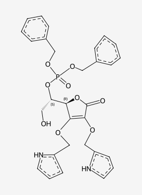 O=C1O[C@H]([C@H](CO)OP(=O)(OCc2ccccc2)OCc2ccccc2)C(OCc2ccc[nH]2)=C1OCc1ccc[nH]1